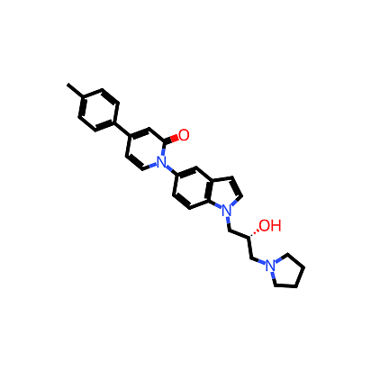 Cc1ccc(-c2ccn(-c3ccc4c(ccn4C[C@H](O)CN4CCCC4)c3)c(=O)c2)cc1